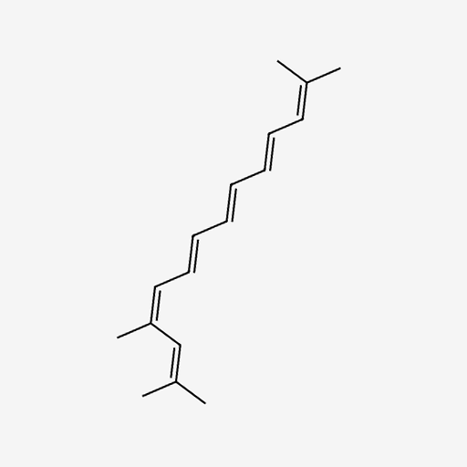 CC(C)=CC=CC=CC=CC=C(C)C=C(C)C